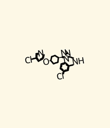 Clc1cncc(O[C@H]2CC[C@H](c3nnc4n3-c3ccc(Cl)cc3CNC4)CC2)c1